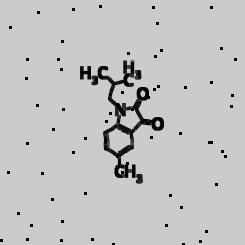 Cc1ccc2c(c1)C(=O)C(=O)N2CC(C)C